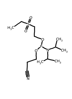 CCS(=O)(=O)CCOP(OCCC#N)N(C(C)C)C(C)C